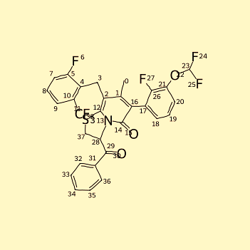 Cc1c(Cc2c(F)cccc2C(F)(F)F)c2n(c(=O)c1-c1cccc(OC(F)F)c1F)C(C(=O)c1ccccc1)CS2